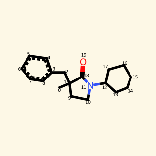 CC1(Cc2ccccc2)CCN(C2CCCCC2)C1=O